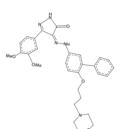 COc1ccc(C2=NNC(=O)/C2=N\Nc2ccc(OCCCN3CCOCC3)c(-c3ccccc3)c2)cc1OC